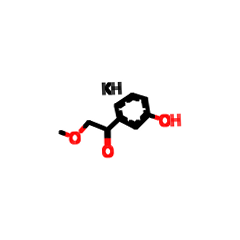 COCC(=O)c1cccc(O)c1.[KH]